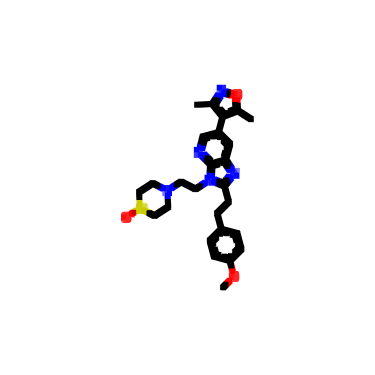 COc1ccc(CCc2nc3cc(-c4c(C)noc4C)cnc3n2CCN2CC[S+]([O-])CC2)cc1